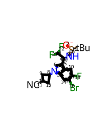 CC(C)(C)[S@+]([O-])N[C@@H](c1cn(C2CC(C#N)C2)c2cc(Br)c(F)cc12)C(F)F